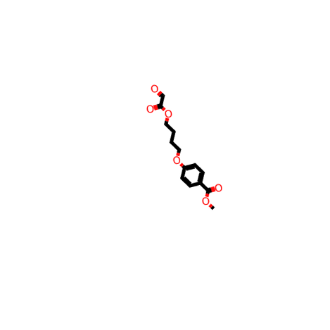 COC(=O)c1ccc(OCCCCOC(=O)C=O)cc1